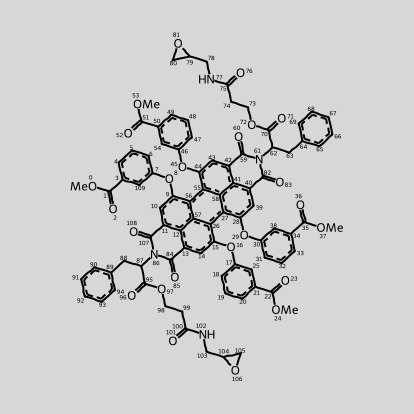 COC(=O)c1cccc(Oc2cc3c4c(cc(Oc5cccc(C(=O)OC)c5)c5c6c(Oc7cccc(C(=O)OC)c7)cc7c8c(cc(Oc9cccc(C(=O)OC)c9)c(c2c45)c86)C(=O)N(C(Cc2ccccc2)C(=O)OCCC(=O)NCC2CO2)C7=O)C(=O)N(C(Cc2ccccc2)C(=O)OCCC(=O)NCC2CO2)C3=O)c1